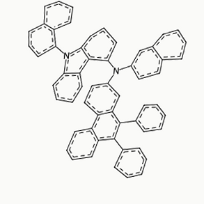 c1ccc(-c2c(-c3ccccc3)c3cc(N(c4ccc5ccccc5c4)c4cccc5c4c4ccccc4n5-c4cccc5ccccc45)ccc3c3ccccc23)cc1